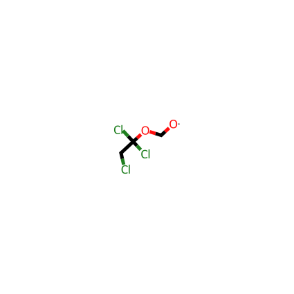 [O]COC(Cl)(Cl)CCl